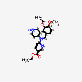 CCOC(=O)c1ccc(N(Cc2ccc(OC)c(OCC)c2)C2CCNCC2)nc1